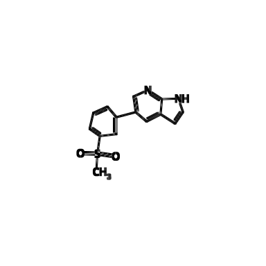 CS(=O)(=O)c1cccc(-c2cnc3[nH]ccc3c2)c1